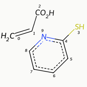 C=CC(=O)O.Sc1ccccn1